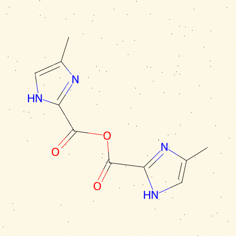 Cc1c[nH]c(C(=O)OC(=O)c2nc(C)c[nH]2)n1